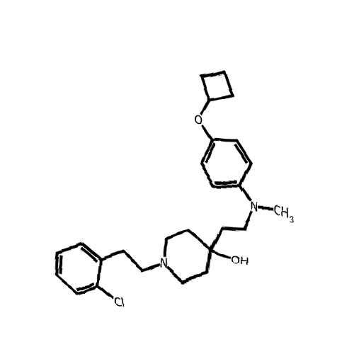 CN(CCC1(O)CCN(CCc2ccccc2Cl)CC1)c1ccc(OC2CCC2)cc1